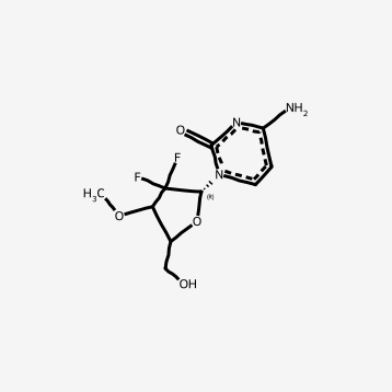 COC1C(CO)O[C@@H](n2ccc(N)nc2=O)C1(F)F